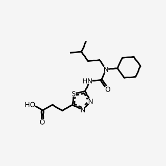 CC(C)CCN(C(=O)Nc1nnc(CCC(=O)O)s1)C1CCCCC1